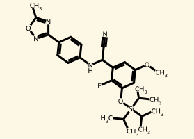 COc1cc(O[Si](C(C)C)(C(C)C)C(C)C)c(F)c(C(C#N)Nc2ccc(-c3noc(C)n3)cc2)c1